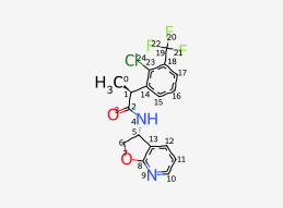 C[C@H](C(=O)N[C@H]1COc2ncccc21)c1cccc(C(F)(F)F)c1Cl